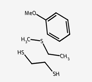 CCSC.COc1ccccc1.SCCS